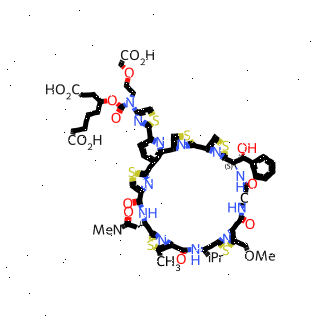 CNC(=O)C[C@@H]1NC(=O)c2csc(n2)-c2ccc(-c3nc(N(CCOCC(=O)O)C(=O)OC(CCCCC(=O)O)CCC(=O)O)cs3)nc2-c2csc(n2)-c2csc(n2)[C@H]([C@@H](O)c2ccccc2)NC(=O)CNC(=O)c2nc(sc2COC)C(C(C)C)NC(=O)c2nc1sc2C